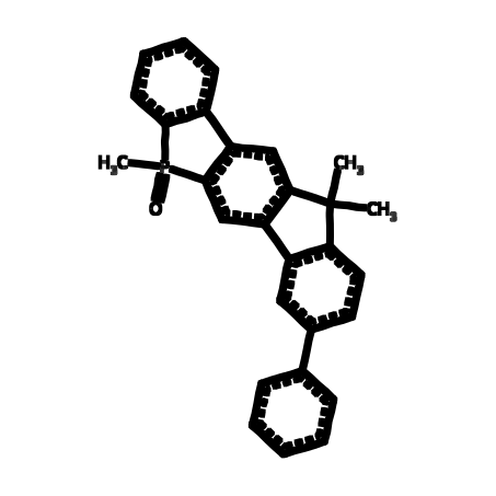 CC1(C)c2ccc(-c3ccccc3)cc2-c2cc3c(cc21)-c1ccccc1P3(C)=O